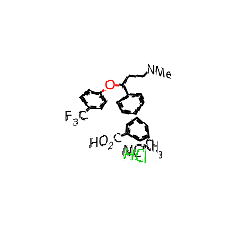 CC#N.CNCCC(Oc1ccc(C(F)(F)F)cc1)c1ccccc1.Cl.O=C(O)c1ccccc1